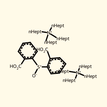 CCCCCCC[N+](CCCCCCC)(CCCCCCC)CCCCCCC.CCCCCCC[N+](CCCCCCC)(CCCCCCC)CCCCCCC.O=C(O)c1ccccc1[S+]([O-])c1ccccc1C(=O)O